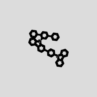 c1ccc(-c2ccc(-c3ccccc3)c(-n3c4ccccc4c4ccc(-c5ccc(-n6c7ccccc7c7ccccc76)cc5)cc43)c2)cc1